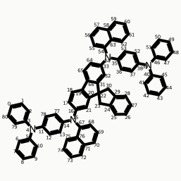 c1ccc(N(c2ccccc2)c2ccc(N(c3ccc4c(c3)C3(Cc5ccccc5C3)c3cc(N(c5ccc(N(c6ccccc6)c6ccccc6)cc5)c5cccc6ccccc56)ccc3-4)c3cccc4ccccc34)cc2)cc1